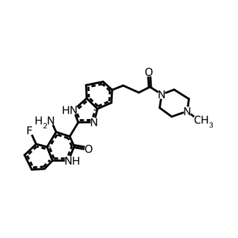 CN1CCN(C(=O)CCc2ccc3[nH]c(-c4c(N)c5c(F)cccc5[nH]c4=O)nc3c2)CC1